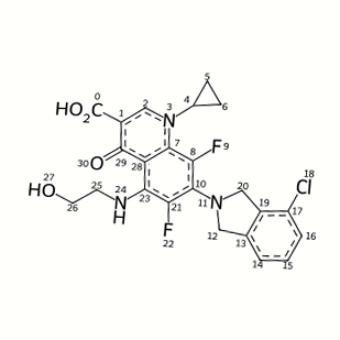 O=C(O)c1cn(C2CC2)c2c(F)c(N3Cc4cccc(Cl)c4C3)c(F)c(NCCO)c2c1=O